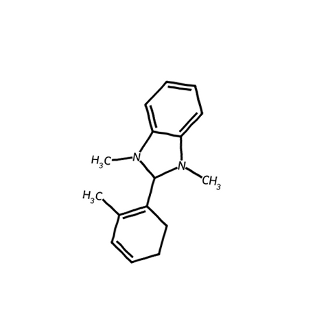 CC1=C(C2N(C)c3ccccc3N2C)CCC=C1